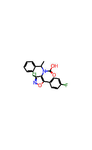 Cc1noc(-c2ccc(F)cc2)c1N(C(=O)O)C(C)c1ccccc1Cl